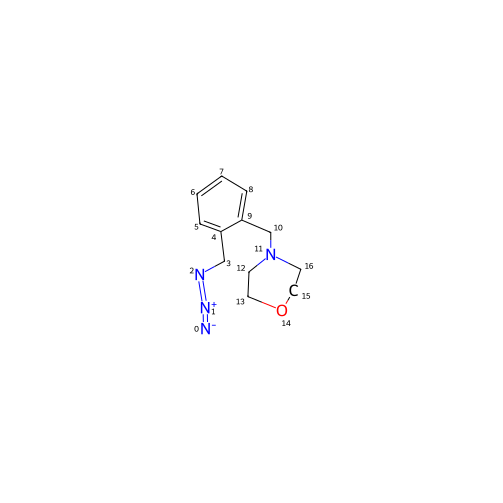 [N-]=[N+]=NCc1ccccc1CN1CCOCC1